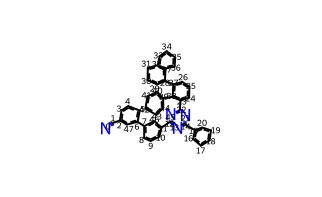 N#Cc1cccc(-c2cccc(-c3nc(-c4ccccc4)nc(-c4cccc(-c5cccc6ccccc56)c4-c4ccccc4)n3)c2)c1